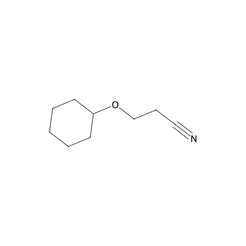 N#CCCOC1CCCCC1